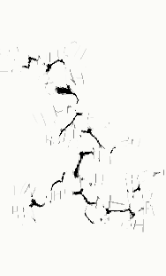 CC[C@H](C)[C@H](NC(=O)[C@@H](CCCNC(=N)N)NC(=O)[C@H](CC(C)C)NC(=O)[C@@H](NC(=O)OC(C)(C)C)[C@H](O)C(C)C)C(=O)N[C@H](C(=O)NCC(=O)N[C@@H](C)C(=O)N[C@@H](CO)C(=O)O)[C@H](C)O